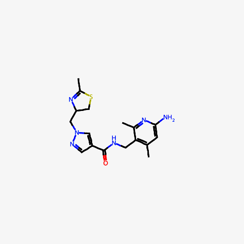 CC1=NC(Cn2cc(C(=O)NCc3c(C)cc(N)nc3C)cn2)CS1